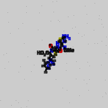 CO/N=C(\C(=O)N[C@@H]1C(=O)N2C(C(=O)O)=C(CN3CN=C4N=C(C)C=C(C)N43)CS[C@@H]12)c1csc(N)n1